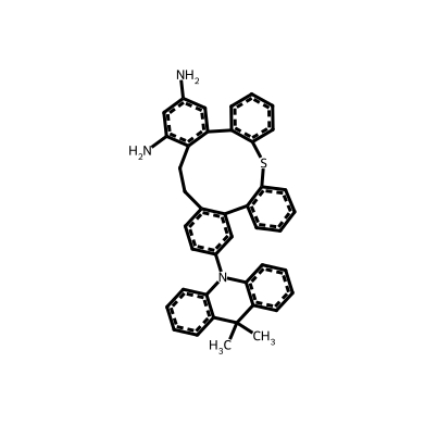 CC1(C)c2ccccc2N(c2ccc3c(c2)-c2ccccc2Sc2ccccc2-c2cc(N)cc(N)c2CC3)c2ccccc21